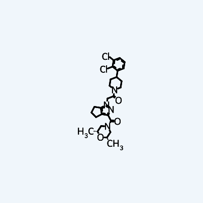 C[C@@H]1CN(C(=O)c2nn(CC(=O)N3CCC(c4cccc(Cl)c4Cl)CC3)c3c2CCC3)C[C@H](C)O1